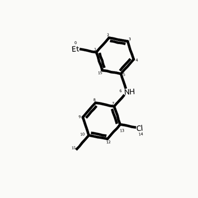 CCc1cccc(Nc2ccc(C)cc2Cl)c1